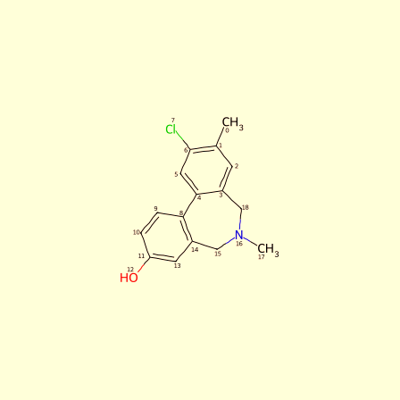 Cc1cc2c(cc1Cl)-c1ccc(O)cc1CN(C)C2